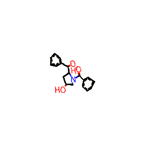 O=C(c1ccccc1)N1CC(O)CC1C(O)c1ccccc1